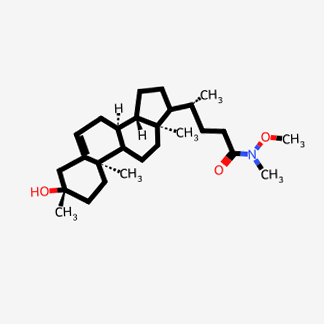 CON(C)C(=O)CC[C@@H](C)C1CC[C@H]2[C@@H]3CC=C4C[C@@](C)(O)CC[C@]4(C)C3CC[C@]12C